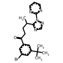 CC(CCC(=O)c1cc(Br)cc(C(C)(C)C)c1)c1ncnn1-c1ncccn1